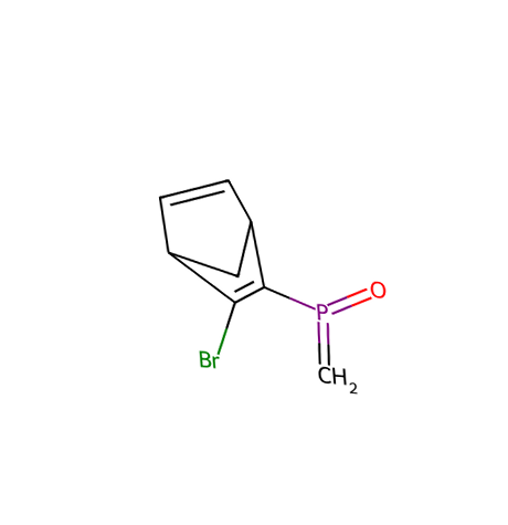 C=P(=O)C1=C(Br)C2C=CC1C2